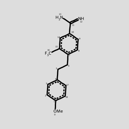 COc1ccc(CCc2ccc(C(=N)N)cc2C(F)(F)F)cc1